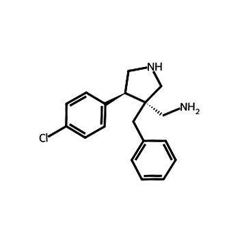 NC[C@@]1(Cc2ccccc2)CNC[C@@H]1c1ccc(Cl)cc1